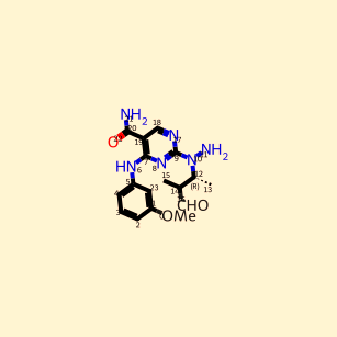 COc1cccc(Nc2nc(N(N)[C@H](C)C(C)C=O)ncc2C(N)=O)c1